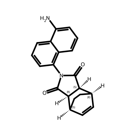 Nc1cccc2c(N3C(=O)[C@@H]4[C@H](C3=O)[C@@H]3C=C[C@H]4CC3)cccc12